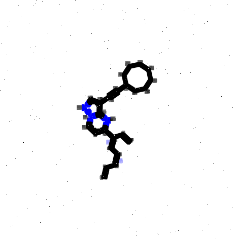 C=C/C=C\C=C(/C=C)c1ccn2ncc(C#CC3CCCCCCC3)c2n1